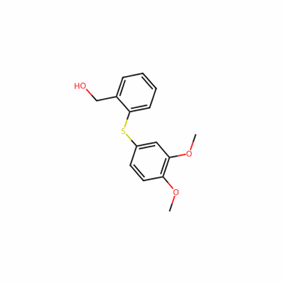 COc1ccc(Sc2ccccc2CO)cc1OC